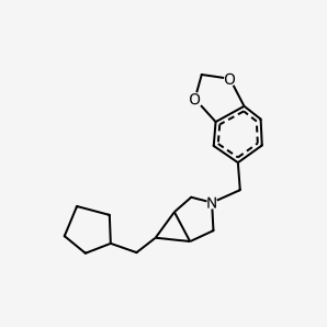 c1cc2c(cc1CN1CC3C(CC4CCCC4)C3C1)OCO2